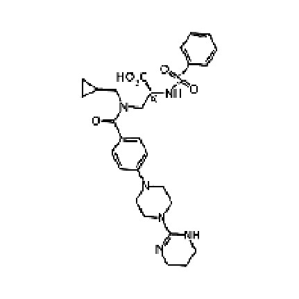 O=C(O)[C@H](CN(CC1CC1)C(=O)c1ccc(N2CCN(C3=NCCCN3)CC2)cc1)NS(=O)(=O)c1ccccc1